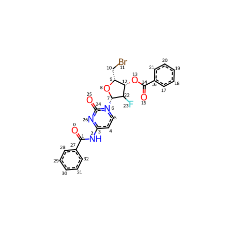 O=C(Nc1ccn([C@@H]2O[C@H](CBr)[C@H](OC(=O)c3ccccc3)C2F)c(=O)n1)c1ccccc1